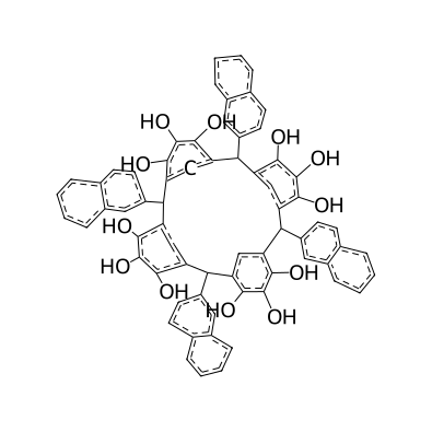 Oc1c2cc(c(O)c1O)C(c1ccc3ccccc3c1)c1cc(c(O)c(O)c1O)C(c1ccc3ccccc3c1)c1cc(c(O)c(O)c1O)C(c1ccc3ccccc3c1)c1cc(c(O)c(O)c1O)C2c1ccc2ccccc2c1